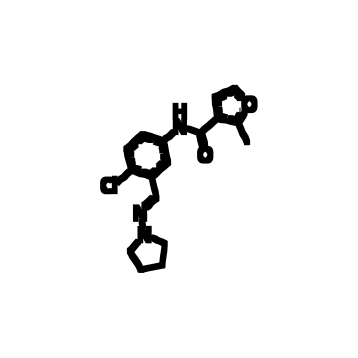 Cc1occc1C(=O)Nc1ccc(Cl)c(C=NN2CCCC2)c1